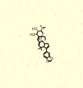 CN(C)[C@H]1C[C@@]23CC[C@@]4(O2)C(=CC(C)(C)[C@]2(C)C(c5ccc6ncoc6c5)=CCC42)C=C3[C@@H](O)[C@@H]1O